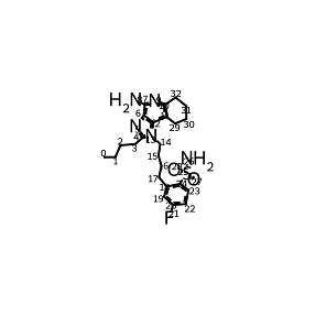 CCCCc1nc2c(N)nc3c(c2n1CCCCc1cc(F)ccc1S(N)(=O)=O)CCCC3